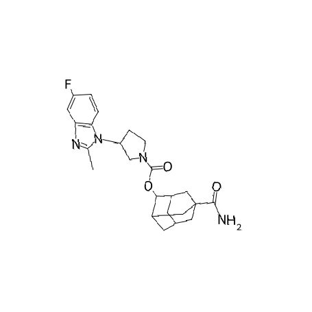 Cc1nc2cc(F)ccc2n1C1CCN(C(=O)OC2C3CC4CC2CC(C(N)=O)(C4)C3)C1